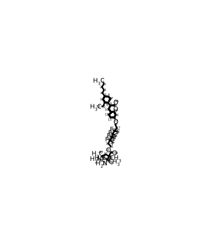 CCCCCc1ccc(-c2cc3ccc(OCCC(F)(F)C(F)(F)C(F)(F)C(F)(F)CCOC(=O)C(C)(CC(C)(C)N)C(C)(C)N)cc3oc2=O)c(CC)c1